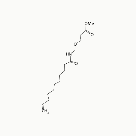 C=CCCCCCCCCC(=O)NCOCCC(=O)OC